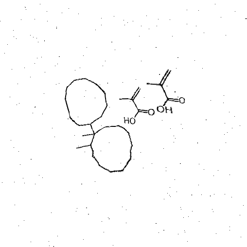 C=C(C)C(=O)O.C=C(C)C(=O)O.CC1CCCCCCCCCC1(C)C1CCCCCCCCCC1